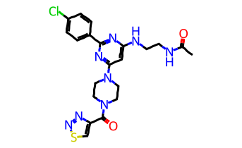 CC(=O)NCCNc1cc(N2CCN(C(=O)c3csnn3)CC2)nc(-c2ccc(Cl)cc2)n1